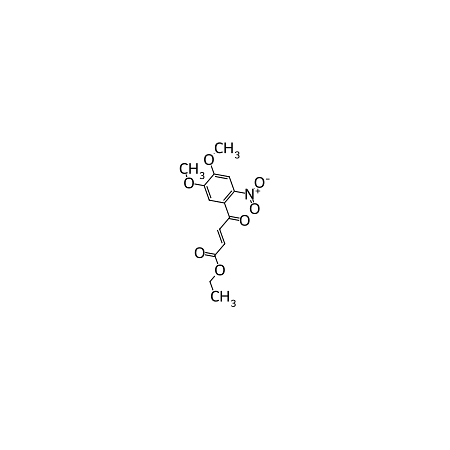 CCOC(=O)C=CC(=O)c1cc(OC)c(OC)cc1[N+](=O)[O-]